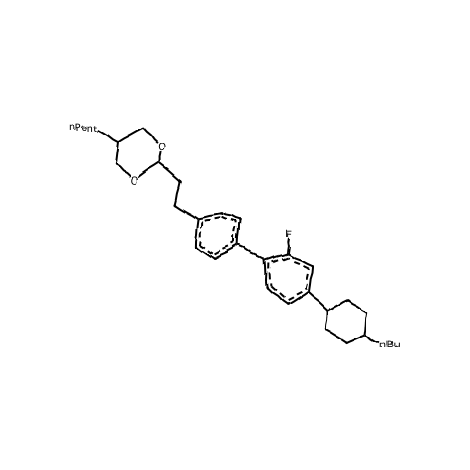 CCCCCC1COC(CCc2ccc(-c3ccc(C4CCC(CCCC)CC4)cc3F)cc2)OC1